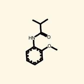 COc1ccccc1NC(=O)C(C)C